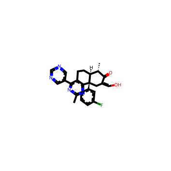 Cc1nc(-c2cncnc2)c2c(n1)[C@@]1(c3cccc(F)c3)CC(=CO)C(=O)[C@@H](C)[C@@H]1CC2